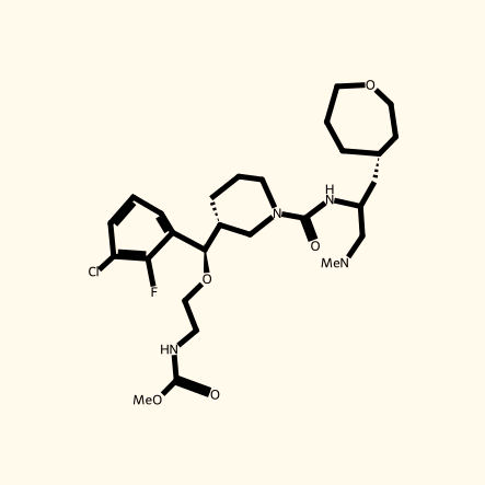 CNCC(C[C@@H]1CCCOCC1)NC(=O)N1CCC[C@@H]([C@@H](OCCNC(=O)OC)c2cccc(Cl)c2F)C1